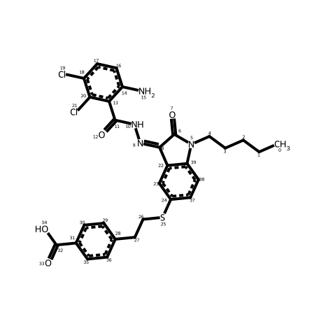 CCCCCN1C(=O)C(=NNC(=O)c2c(N)ccc(Cl)c2Cl)c2cc(SCCc3ccc(C(=O)O)cc3)ccc21